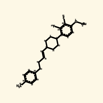 CCCCOc1ccc(C2CCC(/C=C/CCc3ccc(C)cc3)CC2)c(F)c1F